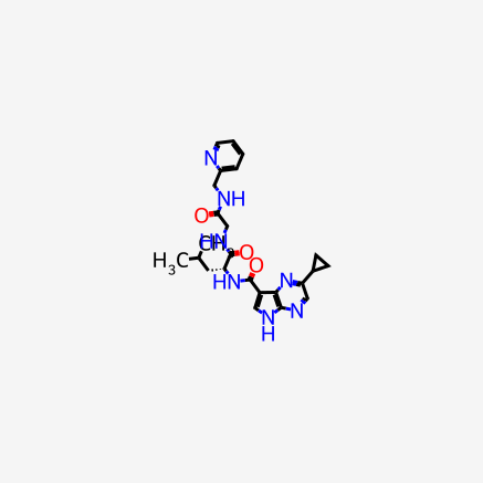 CC(C)C[C@@H](NC(=O)c1c[nH]c2ncc(C3CC3)nc12)C(=O)NCC(=O)NCc1ccccn1